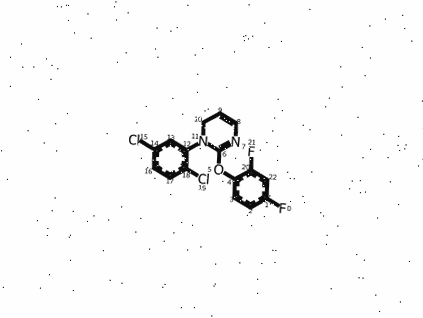 Fc1ccc(OC2=NC=CCN2c2cc(Cl)ccc2Cl)c(F)c1